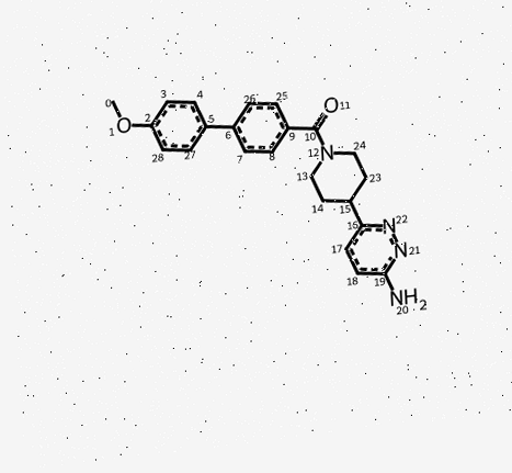 COc1ccc(-c2ccc(C(=O)N3CCC(c4ccc(N)nn4)CC3)cc2)cc1